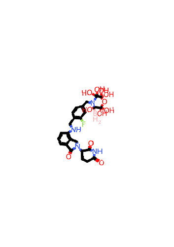 BC1(O)N(Cc2ccc(CNc3cccc4c3CN(C3CCC(=O)NC3=O)C4=O)c(F)c2)C(O)(O)C(O)(O)OC1(O)O